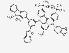 Cc1cc2c3c(c1)N(c1ccc4c(c1)OCO4)c1ccc(C(C)(C)C)cc1B3c1cc(C(C)(C)C)ccc1N2c1cc(-c2ccc3c(c2)C(C)(C)c2ccccc2-3)cc(-c2cc3ccccc3o2)c1